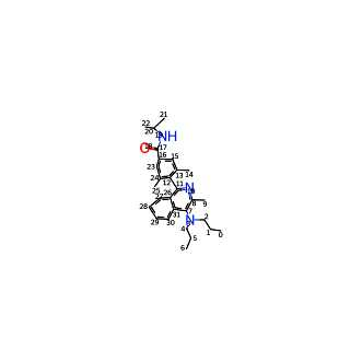 CCCN(CCC)c1c(C)nc(-c2c(C)cc(C(=O)NC(C)C)cc2C)c2ccccc12